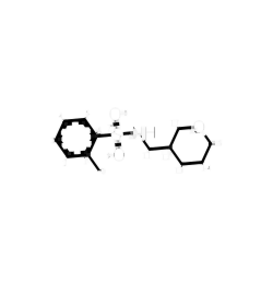 Cc1ccccc1S(=O)(=O)NCC1CCCOC1